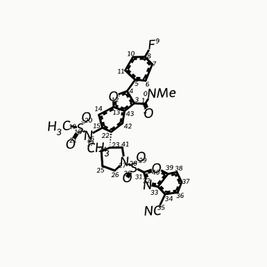 CNC(=O)c1c(-c2ccc(F)cc2)oc2cc(N(C)S(C)(=O)=O)c([C@H]3CCCN(S(=O)(=O)c4nc5c(C#N)cccc5o4)C3)cc12